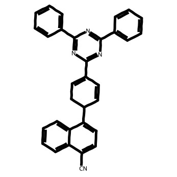 N#Cc1ccc(C2C=CC(c3nc(-c4ccccc4)nc(-c4ccccc4)n3)=CC2)c2ccccc12